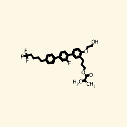 C=C(C)C(=O)OCCCc1cc(-c2ccc(-c3ccc(CCCCC(F)(F)F)cc3)cc2F)ccc1OCCO